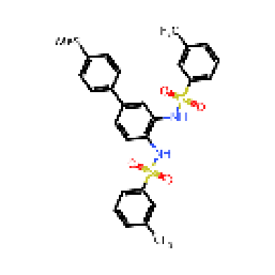 CSc1ccc(-c2ccc(NS(=O)(=O)c3cccc(C(F)(F)F)c3)c(NS(=O)(=O)c3cccc(C(F)(F)F)c3)c2)cc1